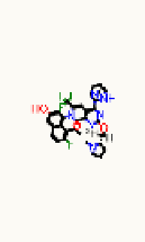 [2H]C([2H])(Oc1nc(N2CC3CCC2CN3)c2cc(C(F)(F)F)n(-c3cc(O)cc4ccc(F)c(CC)c34)c(=O)c2n1)[C@@H]1CCCN1C